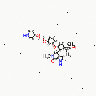 Cn1cc(-c2cc(C(C)(C)O)ccc2Oc2cccc(OCCOC3CCNCC3)c2)c2cc[nH]c2c1=O